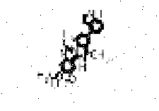 COc1cc2nc(C)nc(N[C@H](C)c3cccc(-c4cccc5[nH]ccc45)c3)c2cc1OC